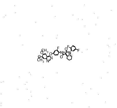 COc1cc2ncnc(Oc3ccc(NC(=O)c4c5n(n(-c6cc(F)ccc6F)c4=O)CCCC5)c(F)c3)c2cc1OC